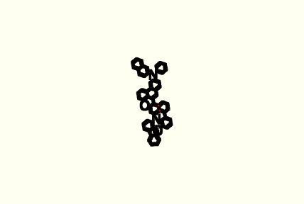 c1ccc(-c2ccccc2N(c2ccc3c(c2)Oc2cccc4c2c-3cc2ccc(N(c3ccccc3)c3ccc5ccccc5c3)cc24)c2cccc3c2oc2ccccc23)cc1